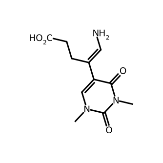 Cn1cc(C(=CN)CCC(=O)O)c(=O)n(C)c1=O